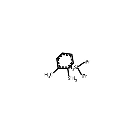 CC(C)[SiH2]C(C)C.Cc1ccccc1[SiH3]